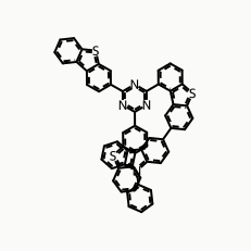 c1ccc(-n2c3ccccc3c3cc(-c4ccc5sc6cccc(-c7nc(-c8ccc9c(c8)sc8ccccc89)nc(-c8ccc9c(c8)sc8ccccc89)n7)c6c5c4)ccc32)cc1